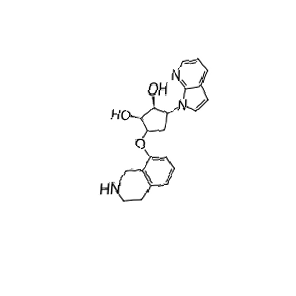 O[C@@H]1C(Oc2cccc3c2CNCC3)CC(n2ccc3cccnc32)[C@@H]1O